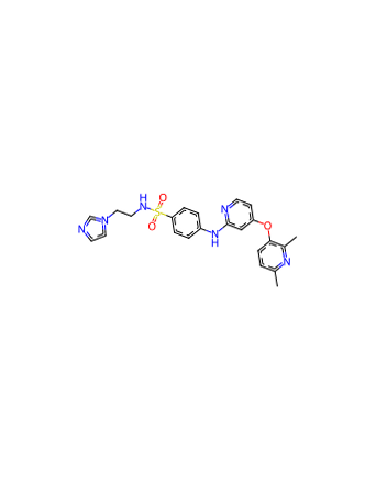 Cc1ccc(Oc2ccnc(Nc3ccc(S(=O)(=O)NCCn4ccnc4)cc3)c2)c(C)n1